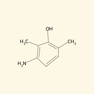 Cc1ccc(N)c(C)c1O